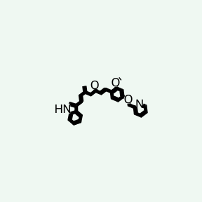 C=C(/C=C/c1c[nH]c2ccccc12)CC(=O)/C=C/c1ccc(OCc2ccccn2)cc1OC